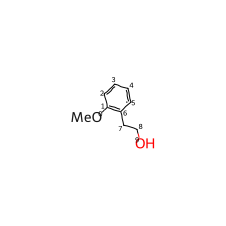 COc1ccc[c]c1CCO